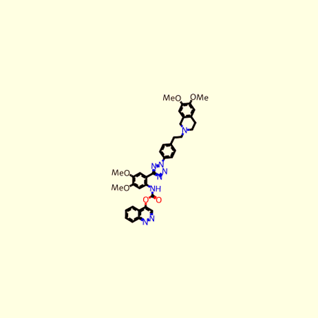 COc1cc2c(cc1OC)CN(CCc1ccc(-n3nnc(-c4cc(OC)c(OC)cc4NC(=O)Oc4cnnc5ccccc45)n3)cc1)CC2